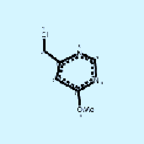 COc1cc(CCl)ncn1